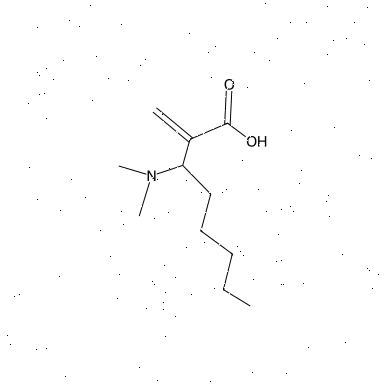 C=C(C(=O)O)C(CCCCC)N(C)C